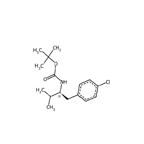 CC(C)[C@H](Cc1ccc(Cl)cc1)NC(=O)OC(C)(C)C